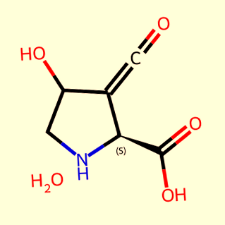 O.O=C=C1C(O)CN[C@@H]1C(=O)O